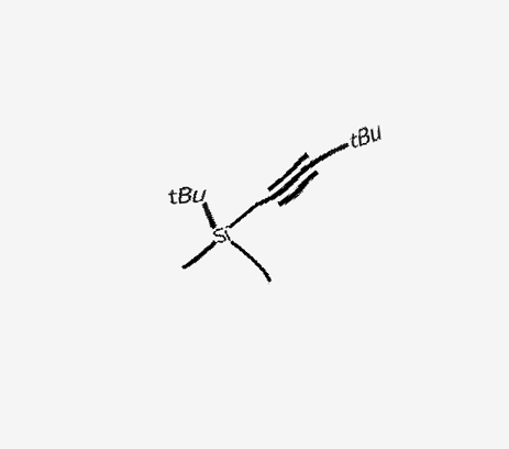 CC(C)(C)C#C[Si](C)(C)C(C)(C)C